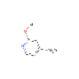 CCOC(=O)c1ccnc(OCC)c1